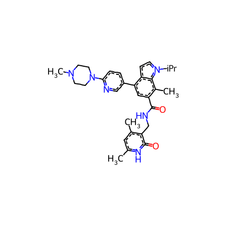 Cc1cc(C)c(CNC(=O)c2cc(-c3ccc(N4CCN(C)CC4)nc3)c3ccn(C(C)C)c3c2C)c(=O)[nH]1